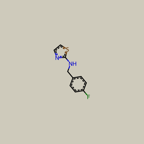 Fc1ccc(CNc2nccs2)cc1